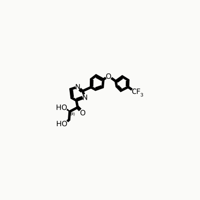 O=C(c1ccnc(-c2ccc(Oc3ccc(C(F)(F)F)cc3)cc2)n1)[C@H](O)CO